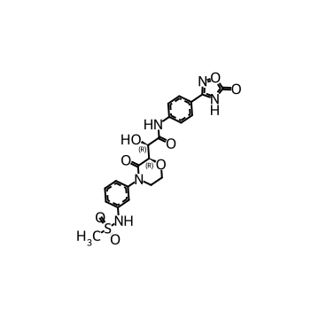 CS(=O)(=O)Nc1cccc(N2CCO[C@H]([C@@H](O)C(=O)Nc3ccc(-c4noc(=O)[nH]4)cc3)C2=O)c1